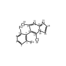 Fc1cccc(F)c1-c1c(Cl)nc2nccn2c1Cl